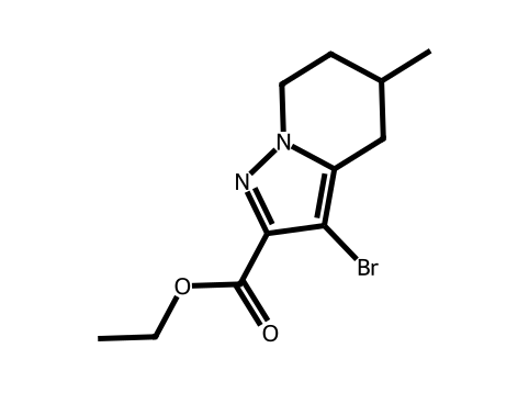 CCOC(=O)c1nn2c(c1Br)CC(C)CC2